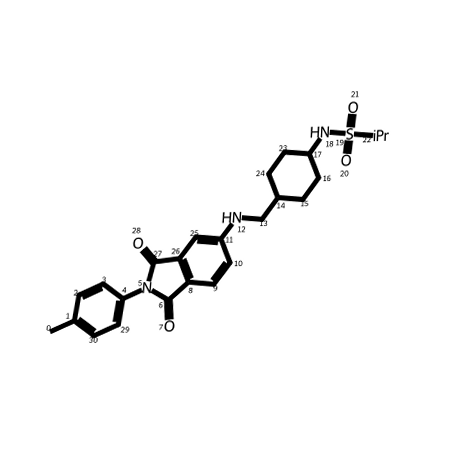 Cc1ccc(N2C(=O)c3ccc(NCC4CCC(NS(=O)(=O)C(C)C)CC4)cc3C2=O)cc1